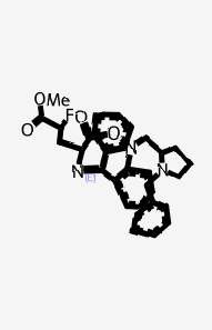 COC(=O)C(F)CC1/N=C(\c2ccccc2)c2ccccc2N(CC2CCCN2Cc2ccccc2)OC1=O